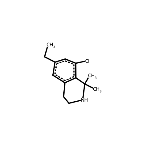 CCc1cc(Cl)c2c(c1)CCNC2(C)C